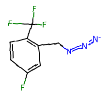 [N-]=[N+]=NCc1cc(F)ccc1C(F)(F)F